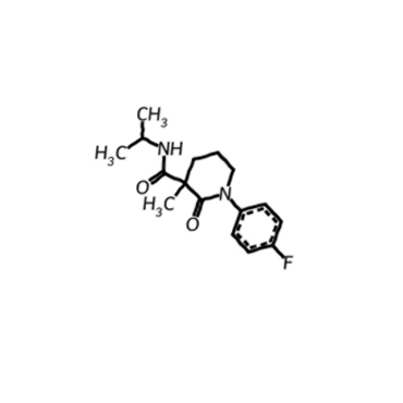 CC(C)NC(=O)C1(C)CCCN(c2ccc(F)cc2)C1=O